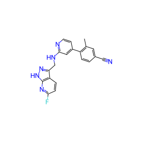 Cc1cc(C#N)ccc1-c1ccnc(NCc2n[nH]c3nc(F)ccc23)c1